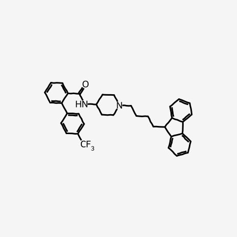 O=C(NC1CCN(CCCCC2c3ccccc3-c3ccccc32)CC1)c1ccccc1-c1ccc(C(F)(F)F)cc1